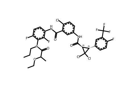 CCCN(C(=O)C(C)OCC)c1c(F)ccc(NC(=O)c2cc(NC(=O)[C@H]3[C@H](c4ccc(F)c(C(F)(F)F)c4)C3(Cl)Cl)ccc2Cl)c1F